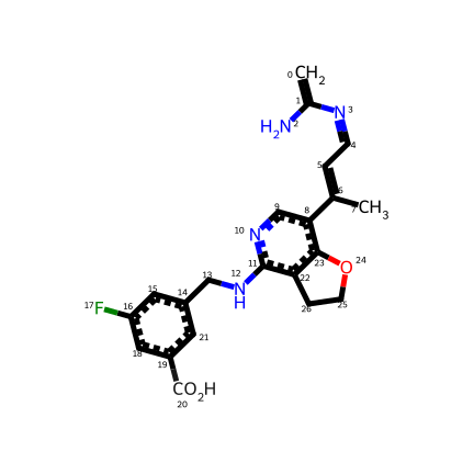 C=C(N)/N=C\C=C(/C)c1cnc(NCc2cc(F)cc(C(=O)O)c2)c2c1OCC2